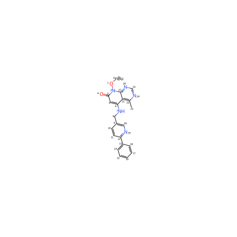 CCCCOn1c(=O)cc(NCc2ccc(-c3ccccc3)nc2)c2c(C)ncnc21